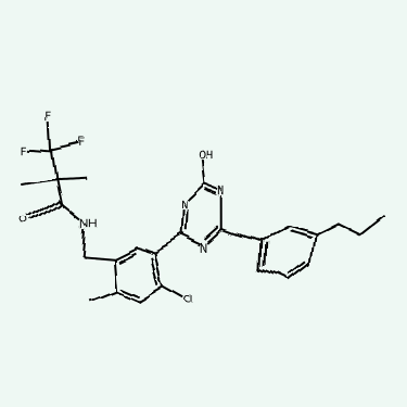 CCCc1cccc(-c2nc(O)nc(-c3cc(CNC(=O)C(C)(C)C(F)(F)F)c(C)cc3Cl)n2)c1